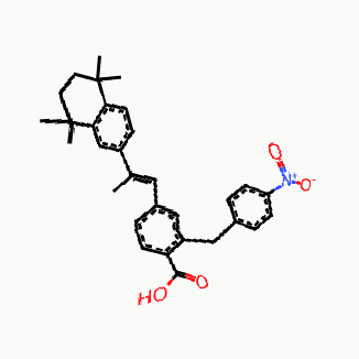 CC(=Cc1ccc(C(=O)O)c(Cc2ccc([N+](=O)[O-])cc2)c1)c1ccc2c(c1)C(C)(C)CCC2(C)C